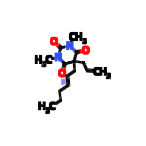 C=CCC1(C/C=C/CCC)C(=O)N(C)C(=O)N(C)C1=O